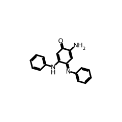 NC1=CC(=Nc2ccccc2)C(Nc2ccccc2)=CC1=O